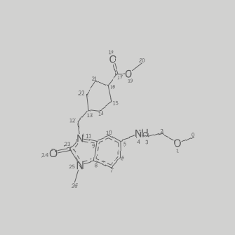 COCCNc1ccc2c(c1)n(CC1CCC(C(=O)OC)CC1)c(=O)n2C